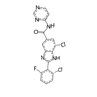 O=C(Nc1ccncn1)c1cc(Cl)c2[nH]c(-c3c(F)cccc3Cl)nc2c1